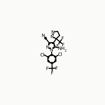 N#Cc1nn(-c2c(Cl)cc(C(F)(F)F)cc2Cl)c(N)c1C1(C(F)(F)F)CCN=N1